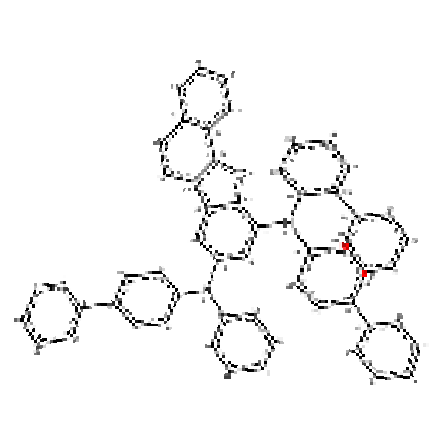 c1ccc(-c2ccc(N(c3ccccc3)c3cc(N(c4ccc(-c5ccccc5)cc4)c4ccccc4-c4ccccc4)c4oc5c6ccccc6ccc5c4c3)cc2)cc1